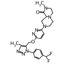 Cc1nnn(-c2ccc(C(F)F)cc2)c1COc1ccc(N2CCN3CCN(C)C(=O)C3C2)nn1